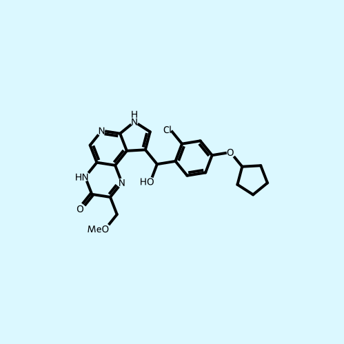 COCc1nc2c(cnc3[nH]cc(C(O)c4ccc(OC5CCCC5)cc4Cl)c32)[nH]c1=O